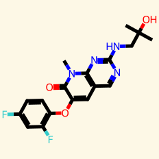 Cn1c(=O)c(Oc2ccc(F)cc2F)cc2cnc(NCC(C)(C)O)nc21